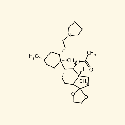 CC(=O)O[C@@H]1[C@@H]([C@@]2(C)CC[C@H](C)C[C@@H]2CCN2CCCC2)CC[C@@]2(C)[C@H]1CCC21OCCO1